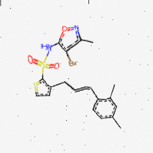 Cc1ccc(C=CCc2ccsc2S(=O)(=O)Nc2onc(C)c2Br)c(C)c1